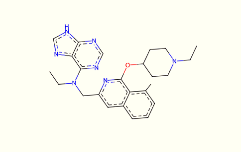 CCN1CCC(Oc2nc(CN(CC)c3ncnc4[nH]cnc34)cc3cccc(C)c23)CC1